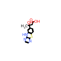 CC(O)(CC(=O)O)c1ccc2c(c1)Nc1nccnc1S2